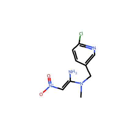 CN(Cc1ccc(Cl)nc1)C(N)=C[N+](=O)[O-]